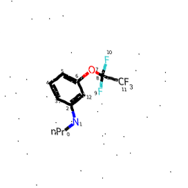 CCC[N]c1cccc(OC(F)(F)C(F)(F)F)c1